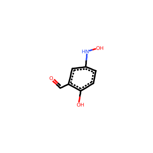 O=Cc1cc(NO)ccc1O